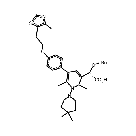 CC1=C(c2ccc(OCCc3scnc3C)cc2)C=C([C@H](OC(C)(C)C)C(=O)O)C(C)N1N1CCC(C)(C)CC1